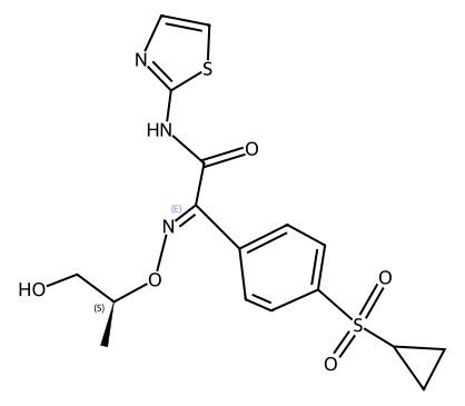 C[C@@H](CO)O/N=C(/C(=O)Nc1nccs1)c1ccc(S(=O)(=O)C2CC2)cc1